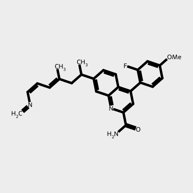 C=N/C=C\C=C(/C)CC(C)c1ccc2c(-c3ccc(OC)cc3F)cc(C(N)=O)nc2c1